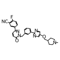 CN1CCC(COc2cnc(-c3cccc(Cn4nc(-c5ccc(F)c(C#N)c5)ccc4=O)c3)nc2)CC1